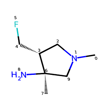 CN1C[C@@H](CF)[C@](C)(N)C1